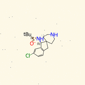 CC(C)(C)[S@@+]([O-])N[C@@H]1c2cc(Cl)ccc2CC12CCNCC2